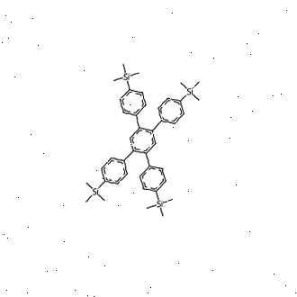 C[Si](C)(C)c1ccc(-c2cc(-c3ccc([Si](C)(C)C)cc3)c(-c3ccc([Si](C)(C)C)cc3)cc2-c2ccc([Si](C)(C)C)cc2)cc1